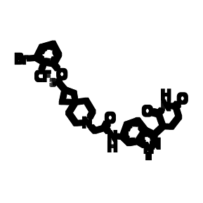 Cn1nc(C2CCC(=O)NC2=O)c2ccc(NC(=O)CN3CCC4(CC3)CC(COc3cccc(Br)c3C(F)(F)F)C4)cc21